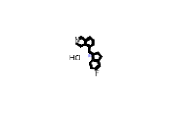 Cl.Fc1ccc2c(c1)CC/C2=C\c1cccc2cnccc12